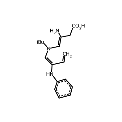 C=C/C(=C\N(/C=C(\N)CC(=O)O)C(C)CC)Nc1ccccc1